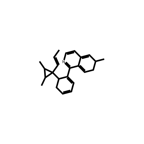 CC=CC1(C2CC=CC=C2c2nccc3c2=CCC(C)C=3)C(C)C1C